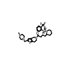 CN1CCN(Cc2cc3c(s2)CCN(C(=O)CCCC2CCCCN2S(=O)(=O)c2ccccc2C(F)(F)F)C3)CC1